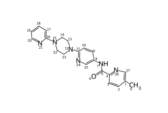 Cc1ccc(C(=O)Nc2ccc(N3CCN(c4ccccn4)CC3)nc2)nc1